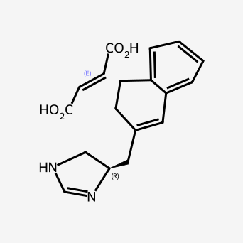 C1=N[C@H](CC2=Cc3ccccc3CC2)CN1.O=C(O)/C=C/C(=O)O